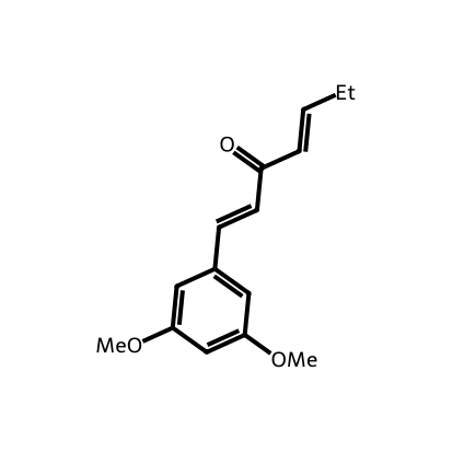 CC/C=C/C(=O)/C=C/c1cc(OC)cc(OC)c1